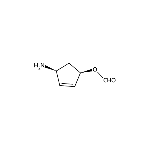 N[C@@H]1C=C[C@H](OC=O)C1